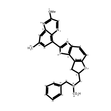 COc1cnc2c(-c3nc4ccc5c(c4s3)CC(CN(Cc3ccccc3)C(=O)O)O5)cc(C)cc2n1